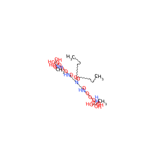 CCCCC/C=C\C/C=C\CCCCCCCCC1(CCCCCCCC/C=C\C/C=C\CCCCC)OC[C@H](CN(CCCCCC(=O)NCCOCCOCCO[C@@H]2OC(CO)[C@H](O)C(O)C2NC(C)=O)CCCCCC(=O)NCCOCCOCCO[C@@H]2OC(CO)[C@H](O)C(O)C2NC(C)=O)O1